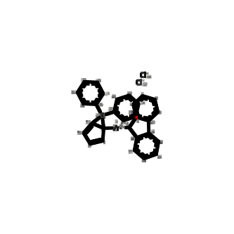 C1=C[C]2([Zr+2][CH]3c4ccccc4-c4ccccc43)C(=C1)[Si]2(c1ccccc1)c1ccccc1.[Cl-].[Cl-]